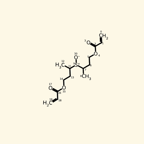 C=CC(=O)OCCC(C)[S+]([O-])C(C)CCOC(=O)C=C